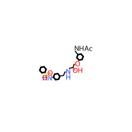 CC(=O)NCc1cccc(OC[C@@H](O)CNCCc2ccc(NS(=O)(=O)c3ccccc3)cc2)c1